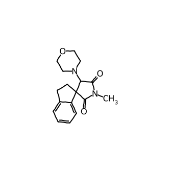 CN1C(=O)C(N2CCOCC2)C2(CCc3ccccc32)C1=O